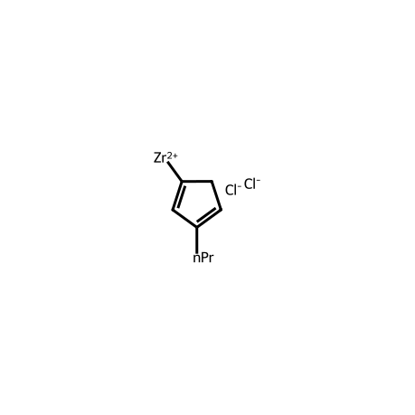 CCCC1=CC[C]([Zr+2])=C1.[Cl-].[Cl-]